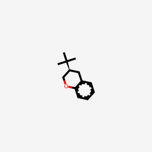 CC(C)(C)[C@@H]1COc2ccccc2C1